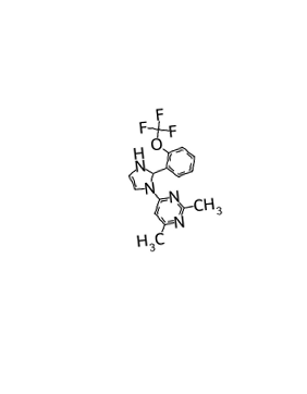 Cc1cc(N2C=CNC2c2ccccc2OC(F)(F)F)nc(C)n1